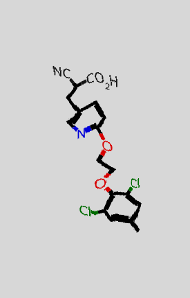 Cc1cc(Cl)c(OCCOc2ccc(CC(C#N)C(=O)O)cn2)c(Cl)c1